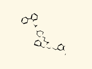 COc1cc(CNCN(Cc2ccccc2)C(=O)CCN2CCC(OC(=O)Nc3ccccc3-c3ccccc3)CC2)ccc1O